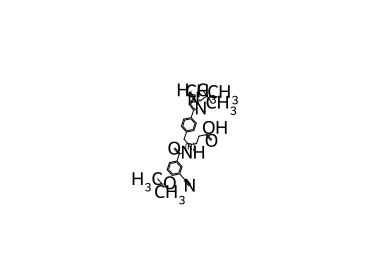 CC(C)Oc1ccc(C(=O)N[C@H](CCC(=O)O)Cc2ccc(-c3cn(C)c(C(C)(C)C)n3)cc2)cc1C#N